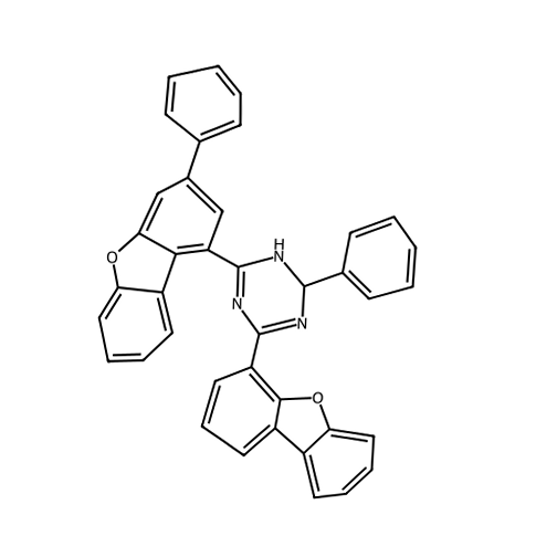 c1ccc(-c2cc(C3=NC(c4cccc5c4oc4ccccc45)=NC(c4ccccc4)N3)c3c(c2)oc2ccccc23)cc1